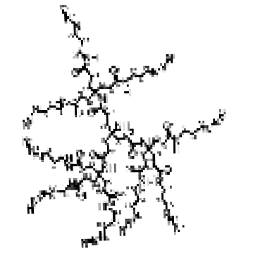 [N-]=[N+]=NCCCNC(=O)CCC(CCC(=O)NCCCN=[N+]=[N-])(CCC(=O)NCCCN=[N+]=[N-])NC(=O)CCC(N)(CCC(=O)NC(CCC(=O)NCCCN=[N+]=[N-])(CCC(=O)NCCCN=[N+]=[N-])CCC(=O)NCCCN=[N+]=[N-])CCC(=O)NC(CCC(=O)NCCCN=[N+]=[N-])(CCC(=O)NCCCN=[N+]=[N-])CCC(=O)NCCCN=[N+]=[N-]